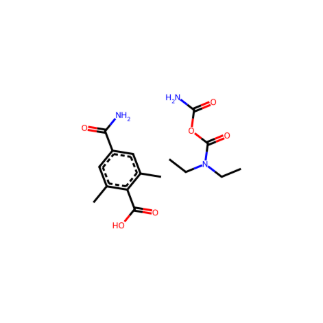 CCN(CC)C(=O)OC(N)=O.Cc1cc(C(N)=O)cc(C)c1C(=O)O